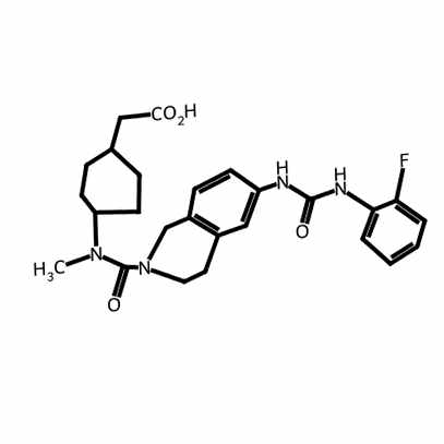 CN(C(=O)N1CCc2cc(NC(=O)Nc3ccccc3F)ccc2C1)C1CCC(CC(=O)O)CC1